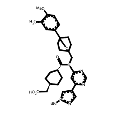 COc1ccc(C23CCC(CN(c4cc(-c5cnn(C(C)(C)C)c5)ncn4)C(=O)[C@H]4CC[C@H](CC(=O)O)CC4)(CC2)CC3)cc1C